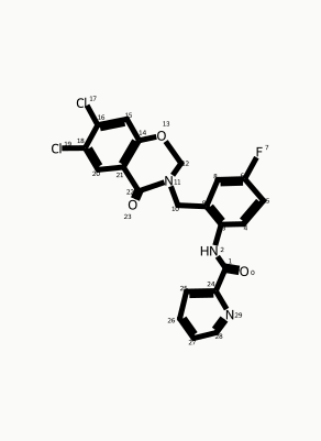 O=C(Nc1ccc(F)cc1CN1COc2cc(Cl)c(Cl)cc2C1=O)c1ccccn1